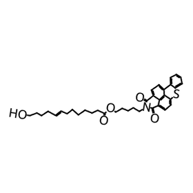 O=C(CCCCCC/C=C/CCCCO)OCCCCCn1c(=O)c2ccc3sc4ccccc4c4ccc(c1=O)c2c34